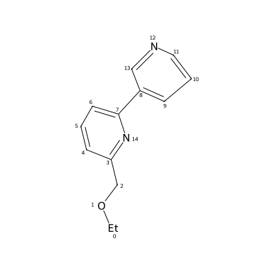 CCOCc1cccc(-c2cccnc2)n1